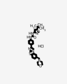 CC(C)(C)c1cc(NC(=O)Nc2ccc(-c3cn4c(n3)sc3ccc(CN5CCOCC5)cc34)cc2)no1.Cl